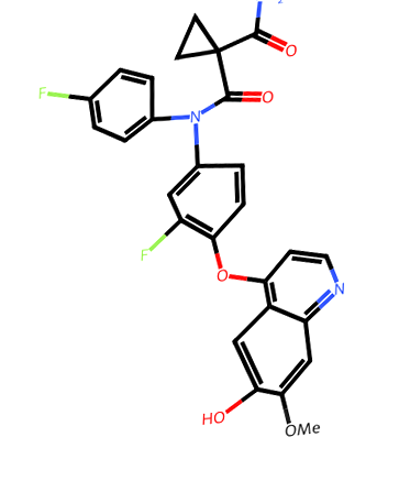 COc1cc2nccc(Oc3ccc(N(C(=O)C4(C(N)=O)CC4)c4ccc(F)cc4)cc3F)c2cc1O